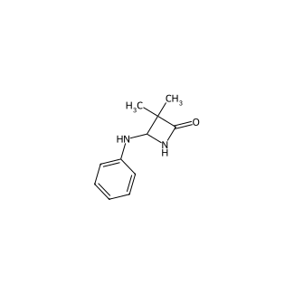 CC1(C)C(=O)NC1Nc1ccccc1